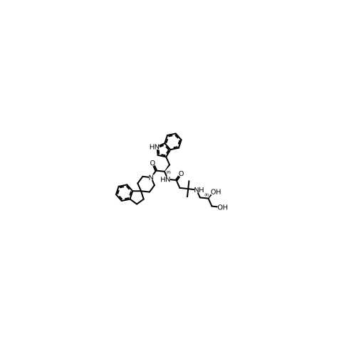 CC(C)(CC(=O)N[C@H](Cc1c[nH]c2ccccc12)C(=O)N1CCC2(CCc3ccccc32)CC1)NC[C@@H](O)CO